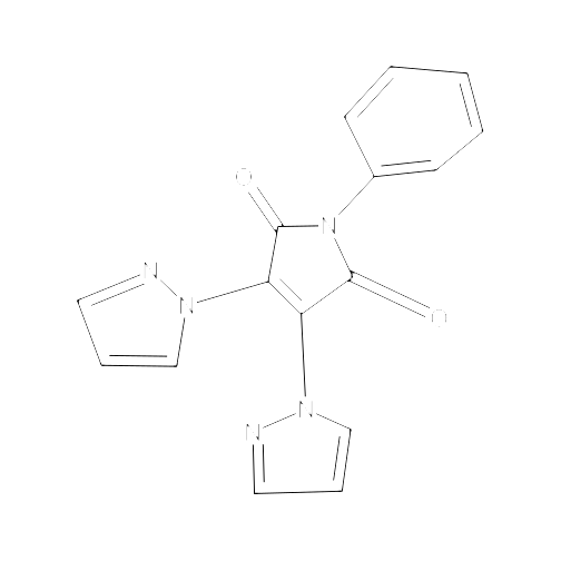 O=C1C(n2cccn2)=C(n2cccn2)C(=O)N1c1ccccc1